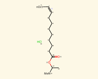 CCCCCCCC/C=C\CCCCCCCC(=O)OC(C)NC.Cl